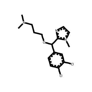 CN(C)CCCOC(c1ccc(Cl)c(Cl)c1)c1nccn1C